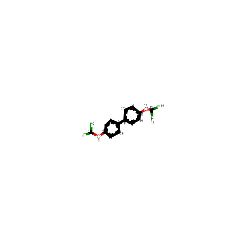 FC(F)Oc1ccc(-c2ccc(OC(F)F)cc2)cc1